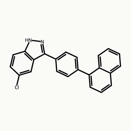 Clc1ccc2[nH]nc(-c3ccc(-c4cccc5ccccc45)cc3)c2c1